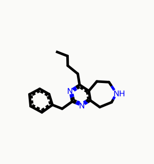 CCCCc1nc(Cc2ccccc2)nc2c1CCNCC2